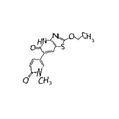 CCOc1nc2[nH]c(=O)c(-c3ccc(=O)n(C)c3)cc2s1